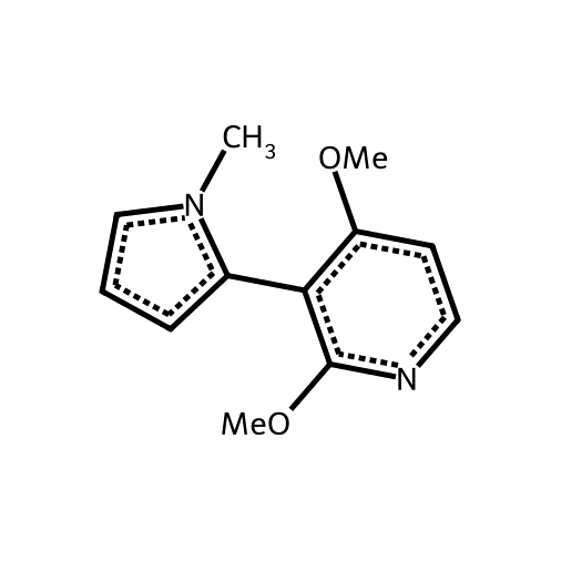 COc1ccnc(OC)c1-c1cccn1C